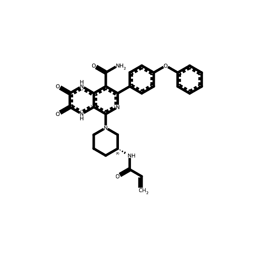 C=CC(=O)N[C@@H]1CCCN(c2nc(-c3ccc(Oc4ccccc4)cc3)c(C(N)=O)c3[nH]c(=O)c(=O)[nH]c23)C1